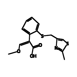 COC=C(C(=O)O)c1ccccc1SCc1csc(C)n1